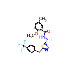 COc1ccc(C)cc1C(=O)NNc1nnc(Cc2ccc(C(F)(F)F)cc2)s1